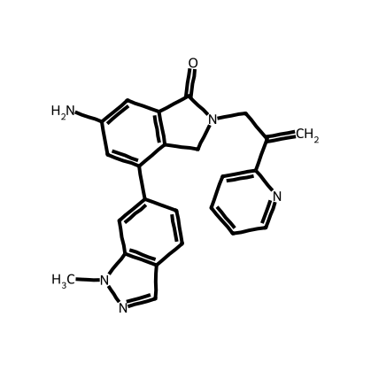 C=C(CN1Cc2c(cc(N)cc2-c2ccc3cnn(C)c3c2)C1=O)c1ccccn1